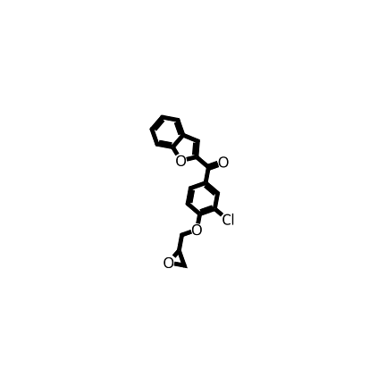 O=C(c1ccc(OCC2CO2)c(Cl)c1)c1cc2ccccc2o1